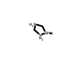 I[SiH]1C[SiH2]C[SiH2]1